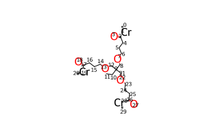 [CH2]=[Cr][C](=O)CCCOCC(CC)(COCCC[C](=O)[Cr]=[CH2])COCCC[C](=O)[Cr]=[CH2]